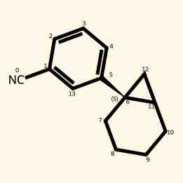 N#Cc1cccc([C@]23CCCCC2C3)c1